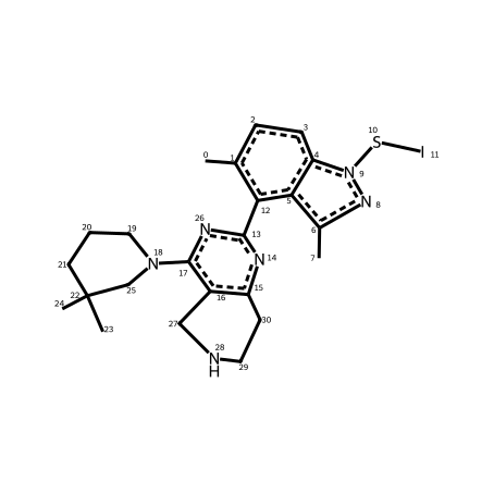 Cc1ccc2c(c(C)nn2SI)c1-c1nc2c(c(N3CCCC(C)(C)C3)n1)CNCC2